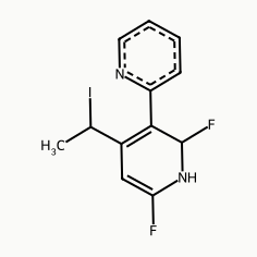 CC(I)C1=C(c2ccccn2)C(F)NC(F)=C1